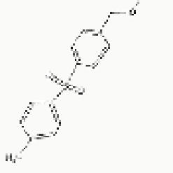 Cc1ccc(S(=O)(=O)c2ccc(COC=O)cc2)cc1